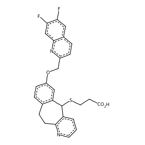 O=C(O)CCSC1c2cc(OCc3ccc4cc(F)c(F)cc4n3)ccc2CCc2ncccc21